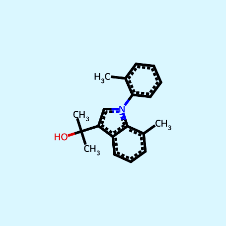 Cc1ccccc1-n1cc(C(C)(C)O)c2cccc(C)c21